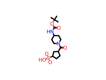 CC(C)(C)OC(=O)NC1CCN(C(=O)C2CCC(S(=O)(=O)O)C2)CC1